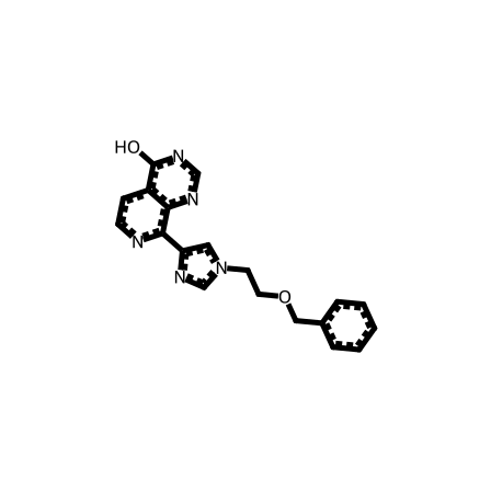 Oc1ncnc2c(-c3cn(CCOCc4ccccc4)cn3)nccc12